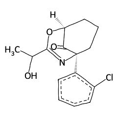 CC(O)C1=N[C@]2(c3ccccc3Cl)CCC[C@H](O1)C2=O